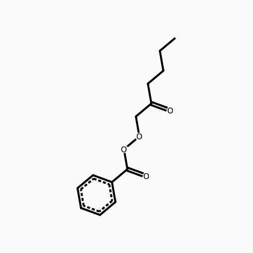 CCCCC(=O)COOC(=O)c1ccccc1